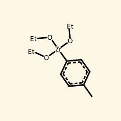 CC[O][Zr]([O]CC)([O]CC)[c]1ccc(C)cc1